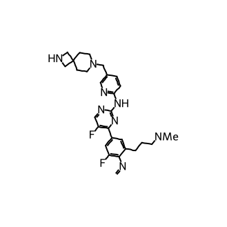 C=Nc1c(F)cc(-c2nc(Nc3ccc(CN4CCC5(CC4)CNC5)cn3)ncc2F)cc1CCCNC